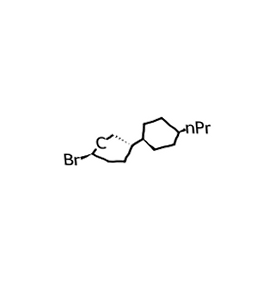 CCC[C@H]1CC[C@@H]([C@H]2CC[C@H](Br)CC2)CC1